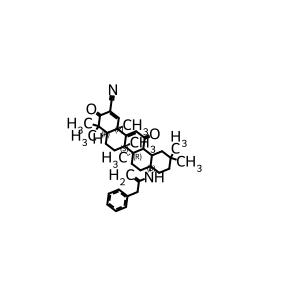 C=C(Cc1ccccc1)N[C@]12CCC(C)(C)CC1C1C(=O)C=C3[C@@]4(C)C=C(C#N)C(=O)C(C)(C)[C@@H]4CC[C@@]3(C)[C@]1(C)CC2